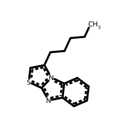 CCCCCc1csc2nc3ccccc3n12